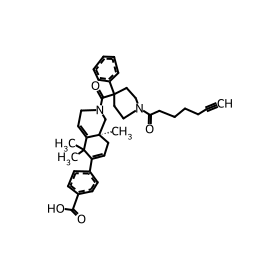 C#CCCCCC(=O)N1CCC(C(=O)N2CC=C3C(C)(C)C(c4ccc(C(=O)O)cc4)=CC[C@]3(C)C2)(c2ccccc2)CC1